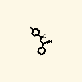 Cc1ccc(C(=O)CC(C#N)c2ccccc2)cc1